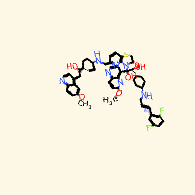 COc1ccc2nccc(C[C@H](O)[C@H]3CC[C@H](NCc4ccc5c(n4)N(C(O)(c4ccnc6ccc(OC)nc46)C(O)[C@H]4CC[C@H](NC/C=C/c6cc(F)ccc6F)CC4)C(=O)CS5)CC3)c2c1